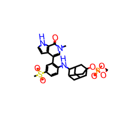 Cn1cc(-c2cc(S(C)(=O)=O)ccc2NC2C3CC4CC2CC(OP2(=O)OCO2)(C4)C3)c2cc[nH]c2c1=O